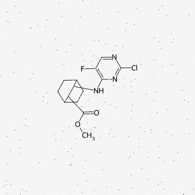 COC(=O)C1C2CCC(CC2)C1Nc1nc(Cl)ncc1F